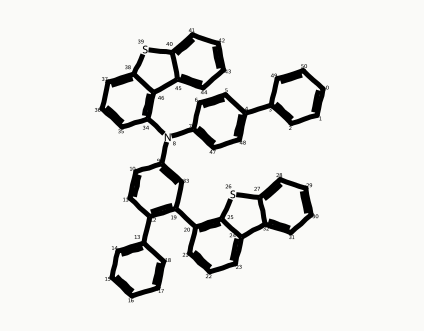 c1ccc(-c2ccc(N(c3ccc(-c4ccccc4)c(-c4cccc5c4sc4ccccc45)c3)c3cccc4sc5ccccc5c34)cc2)cc1